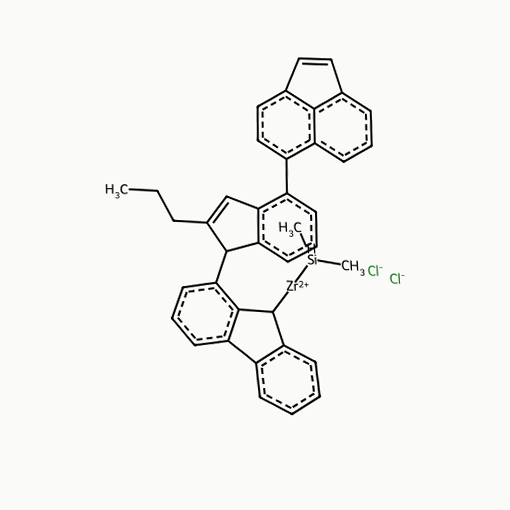 CCCC1=Cc2c(-c3ccc4c5c(cccc35)C=C4)cccc2C1c1cccc2c1[CH]([Zr+2][SiH](C)C)c1ccccc1-2.[Cl-].[Cl-]